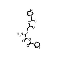 N[C@H](CCC(=O)OC(=O)n1ccnc1)C(=O)OC(=O)n1ccnc1